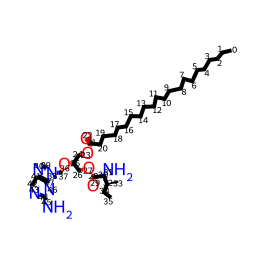 CCCCCCCCCCCCCCCCCCCCCC(=O)OCC(COC(=O)[C@@H](N)[C@@H](C)CC)OCn1cnc2cnc(N)nc21